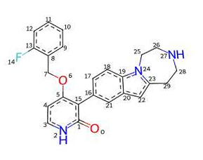 O=c1[nH]ccc(OCc2ccccc2F)c1-c1ccc2c(c1)cc1n2CCNCC1